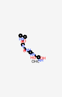 O=CNc1cc([C@H](O)CNCc2ccc(CNC(=O)CCN3CCC(OC(=O)Nc4ccccc4-c4ccccc4)CC3)cc2)ccc1O